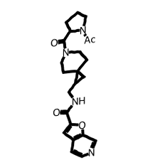 CC(=O)N1CCCC1C(=O)N1CCC2(CC1)CC2CNC(=O)c1cc2ccncc2o1